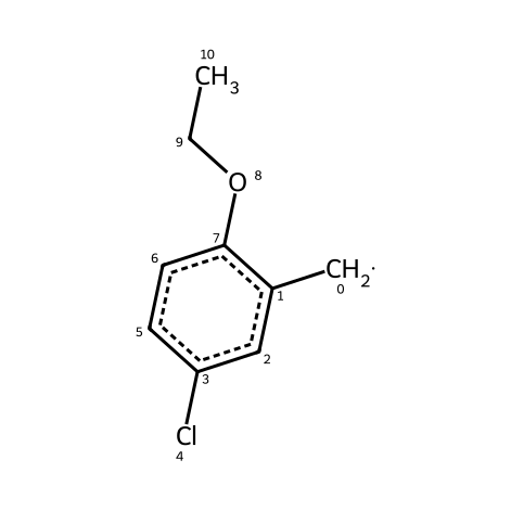 [CH2]c1cc(Cl)ccc1OCC